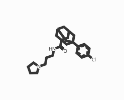 O=C(NCCCN1CCCC1)C12CC3CC(C1)CC(c1ccc(Cl)cc1)(C3)C2